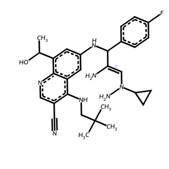 CC(O)c1cc(NC(/C(N)=C/N(N)C2CC2)c2ccc(F)cc2)cc2c(NCC(C)(C)C)c(C#N)cnc12